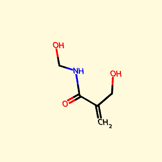 C=C(CO)C(=O)NCO